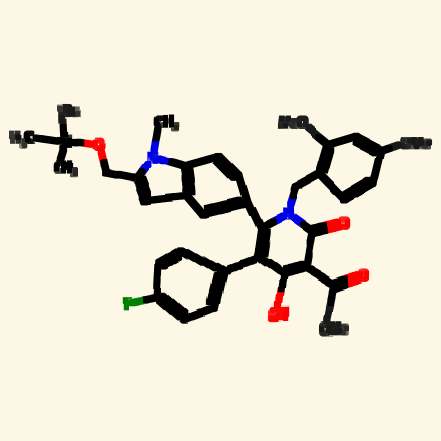 COC(=O)c1c(O)c(-c2ccc(F)cc2)c(-c2ccc3c(c2)cc(CO[Si](C)(C)C(C)(C)C)n3C)n(Cc2ccc(OC)cc2OC)c1=O